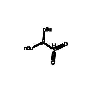 CCCCN(CCCC)[SH](=O)=O